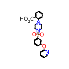 O=C(O)c1ccccc1N1CCN(S(=O)(=O)c2cccc(Oc3ccccn3)c2)CC1